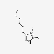 CCCCCCc1c[nH]c(C)[n+]1C